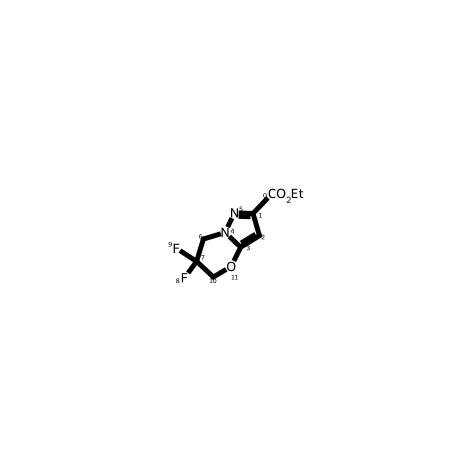 CCOC(=O)c1cc2n(n1)CC(F)(F)CO2